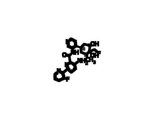 C[C@H]1C[C@@H](c2ccncc2NC(=O)c2nc(-c3ncccc3F)ccc2N)C[C@@H](O)[C@@]1(O)CF